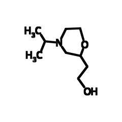 CC(C)N1CCOC(CCO)C1